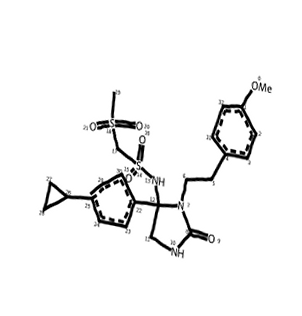 COc1ccc(CCN2C(=O)NCC2(NS(=O)(=O)CS(C)(=O)=O)c2ccc(C3CC3)cc2)cc1